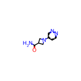 NC(=O)C1CN(c2ccnnc2)C1